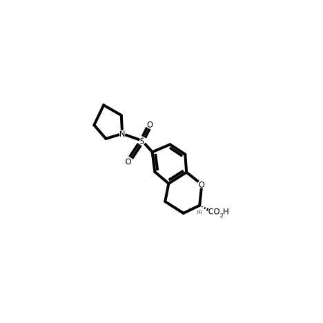 O=C(O)[C@@H]1CCc2cc(S(=O)(=O)N3CCCC3)ccc2O1